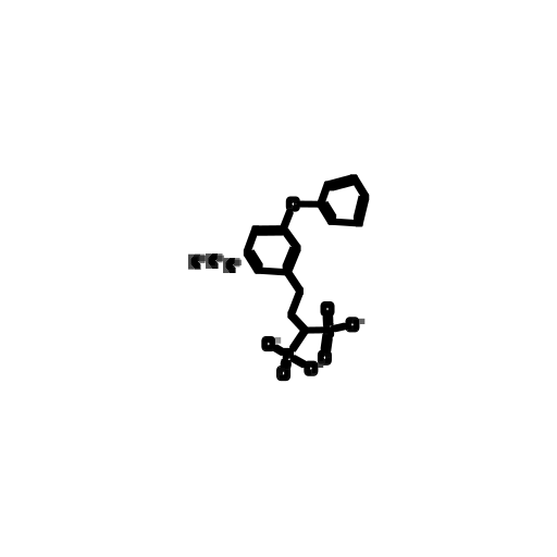 O=P([O-])([O-])C(CCc1cccc(Oc2ccccc2)c1)S(=O)(=O)[O-].[K+].[K+].[K+]